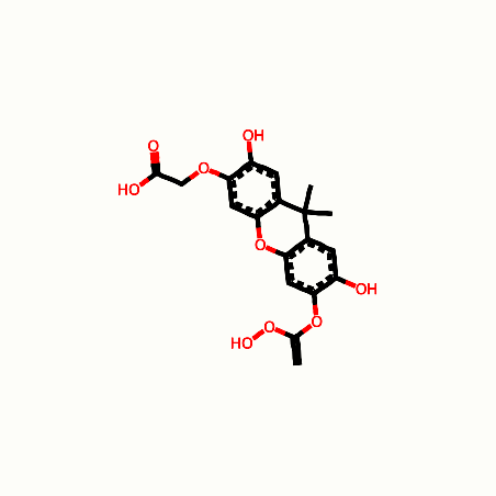 C=C(OO)Oc1cc2c(cc1O)C(C)(C)c1cc(O)c(OCC(=O)O)cc1O2